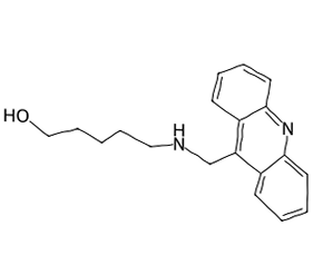 OCCCCCNCc1c2ccccc2nc2ccccc12